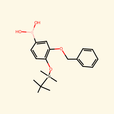 CC(C)(C)[Si](C)(C)Oc1ccc(B(O)O)cc1OCc1ccccc1